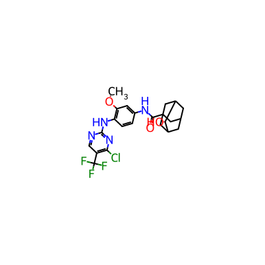 COc1cc(NC(=O)C23CC4CC(C2)C(O)C(C4)C3)ccc1Nc1ncc(C(F)(F)F)c(Cl)n1